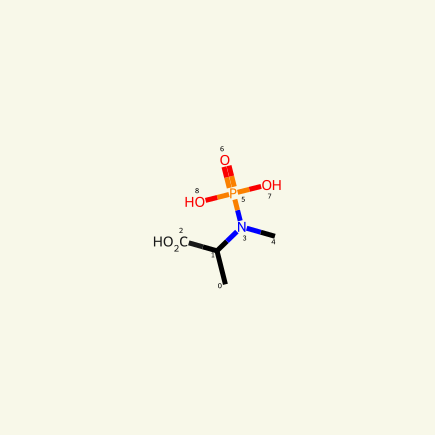 CC(C(=O)O)N(C)P(=O)(O)O